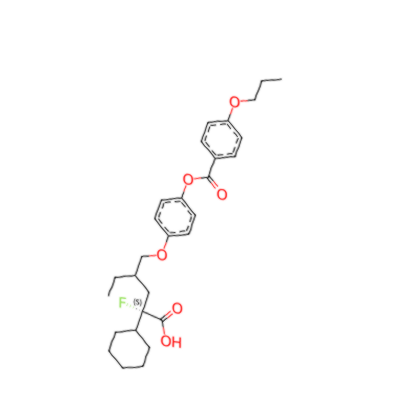 CCCOc1ccc(C(=O)Oc2ccc(OCC(CC)C[C@@](F)(C(=O)O)C3CCCCC3)cc2)cc1